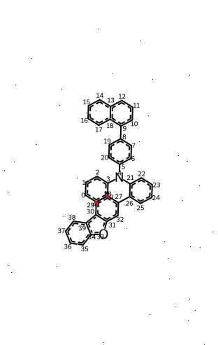 c1ccc(N(c2ccc(-c3cccc4ccccc34)cc2)c2ccccc2-c2ccc3c(c2)oc2ccccc23)cc1